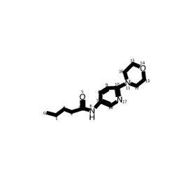 CCCCC(=O)Nc1ccc(N2CCOCC2)nc1